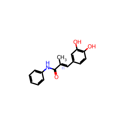 C/C(=C\c1ccc(O)c(O)c1)C(=O)Nc1ccccc1